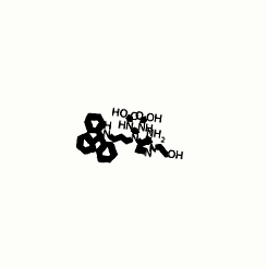 Nc1c(N(CCCNC(c2ccccc2)(c2ccccc2)c2ccccc2)C(NC(=O)O)NC(=O)O)cnn1CCO